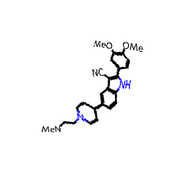 CNCCN1CCC(c2ccc3[nH]c(-c4ccc(OC)c(OC)c4)c(C#N)c3c2)CC1